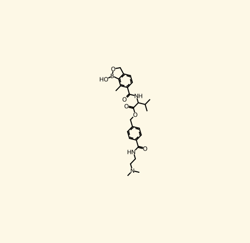 Cc1c(C(=O)NC(C(=O)OCc2ccc(C(=O)NCCN(C)C)cc2)C(C)C)ccc2c1B(O)OC2